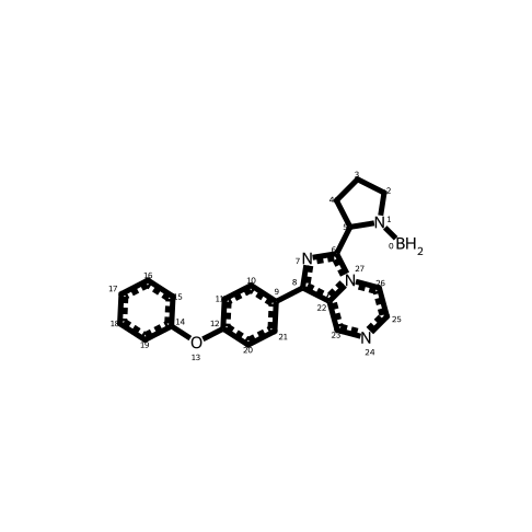 BN1CCCC1c1nc(-c2ccc(Oc3ccccc3)cc2)c2cnccn12